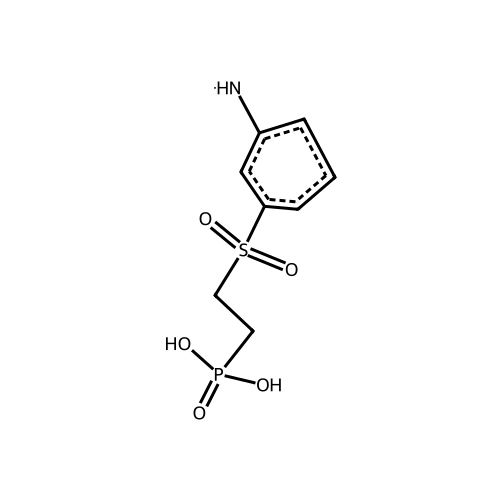 [NH]c1cccc(S(=O)(=O)CCP(=O)(O)O)c1